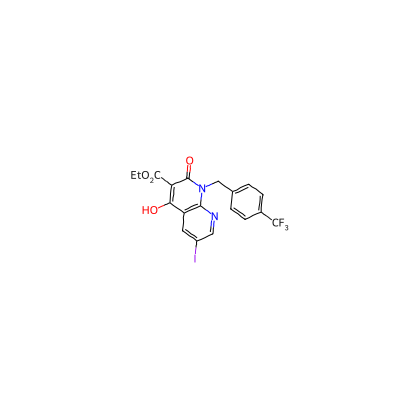 CCOC(=O)c1c(O)c2cc(I)cnc2n(Cc2ccc(C(F)(F)F)cc2)c1=O